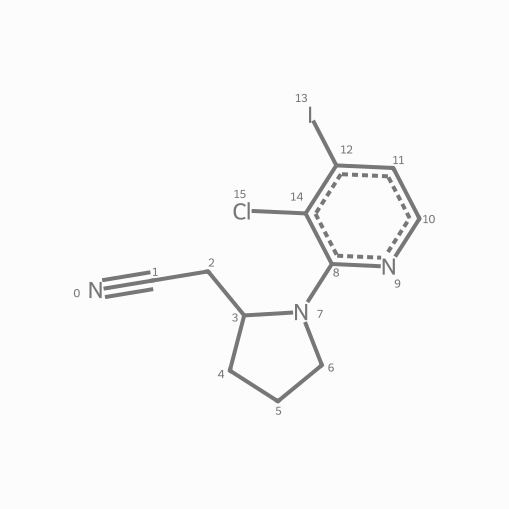 N#CCC1CCCN1c1nccc(I)c1Cl